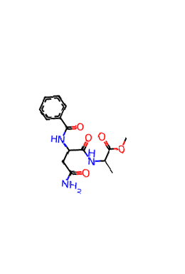 COC(=O)C(C)NC(=O)C(CC(N)=O)NC(=O)c1ccccc1